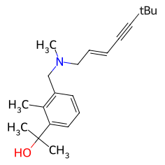 Cc1c(CN(C)CC=CC#CC(C)(C)C)cccc1C(C)(C)O